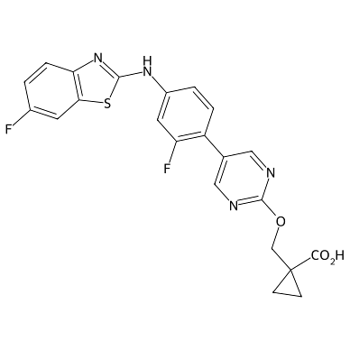 O=C(O)C1(COc2ncc(-c3ccc(Nc4nc5ccc(F)cc5s4)cc3F)cn2)CC1